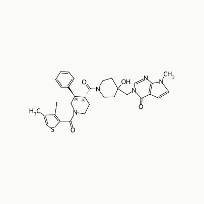 Cc1csc(C(=O)N2CC[C@@H](C(=O)N3CCC(O)(Cn4cnc5c(ccn5C)c4=O)CC3)[C@H](c3ccccc3)C2)c1I